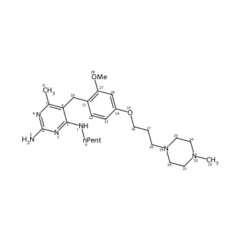 CCCCCNc1nc(N)nc(C)c1Cc1ccc(OCCCN2CCN(C)CC2)cc1OC